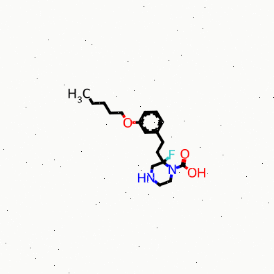 CCCCCOc1cccc(CCC2(F)CNCCN2C(=O)O)c1